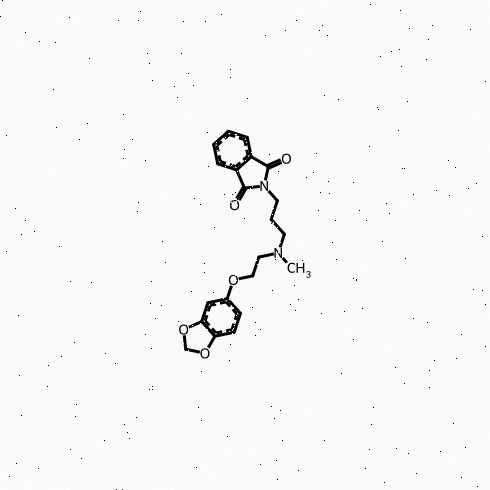 CN(CCCN1C(=O)c2ccccc2C1=O)CCOc1ccc2c(c1)OCO2